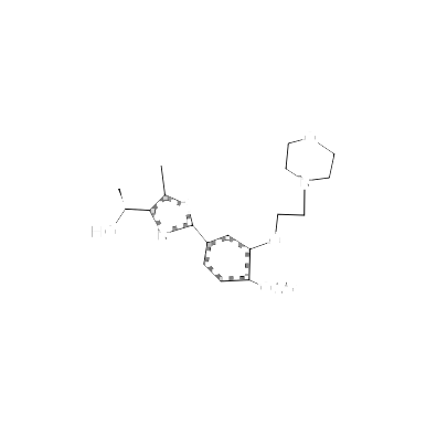 COc1ccc(-c2nc([C@H](C)O)c(C)s2)cc1OCCN1CCOCC1